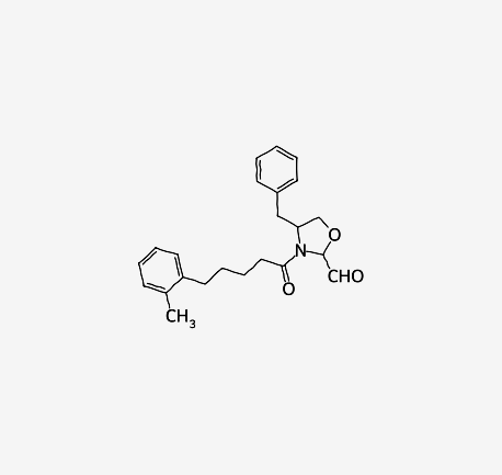 Cc1ccccc1CCCCC(=O)N1C(Cc2ccccc2)COC1C=O